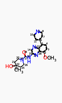 COc1ccc(-c2ccncc2)c2ncc(NC(=O)N3CCC(C)(O)CC3)nc12